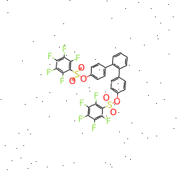 O=S(=O)(Oc1ccc(-c2[c]cccc2-c2ccc(OS(=O)(=O)c3c(F)c(F)c(F)c(F)c3F)cc2)cc1)c1c(F)c(F)c(F)c(F)c1F